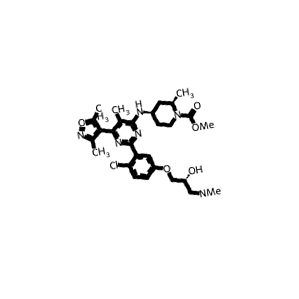 CNC[C@@H](O)COc1ccc(Cl)c(-c2nc(N[C@@H]3CCN(C(=O)OC)[C@H](C)C3)c(C)c(-c3c(C)noc3C)n2)c1